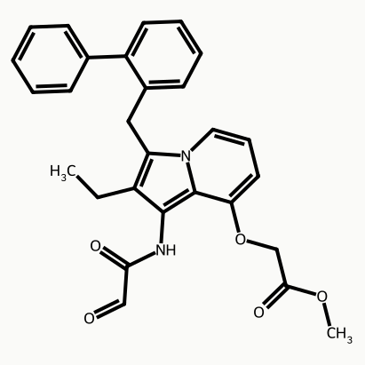 CCc1c(NC(=O)C=O)c2c(OCC(=O)OC)cccn2c1Cc1ccccc1-c1ccccc1